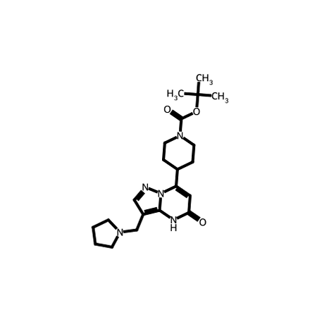 CC(C)(C)OC(=O)N1CCC(c2cc(=O)[nH]c3c(CN4CCCC4)cnn23)CC1